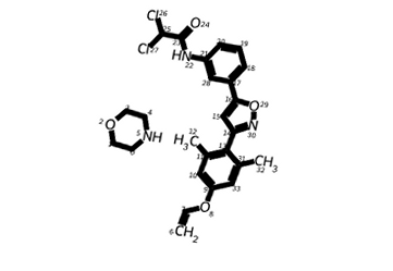 C1COCCN1.C=COc1cc(C)c(-c2cc(-c3cccc(NC(=O)C(Cl)Cl)c3)on2)c(C)c1